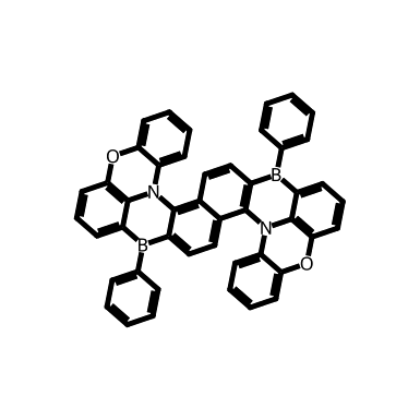 c1ccc(B2c3cccc4c3N(c3ccccc3O4)c3c2ccc2c4c(ccc32)B(c2ccccc2)c2cccc3c2N4c2ccccc2O3)cc1